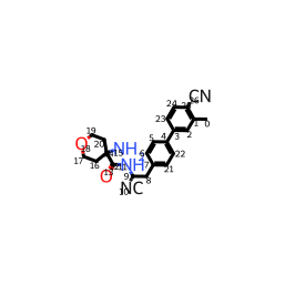 Cc1cc(-c2ccc(CC(C#N)NC(=O)C3(N)CCOCC3)cc2)ccc1C#N